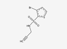 C#CCNS(=O)(=O)c1sccc1Br